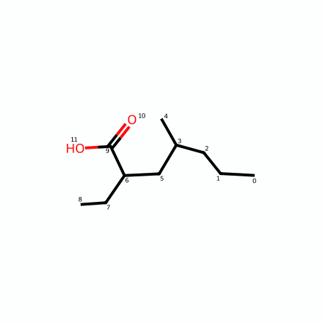 CCCC(C)CC(CC)C(=O)O